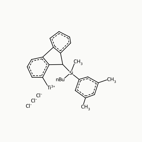 CCCC[Si](C)(c1cc(C)cc(C)c1)C1c2ccccc2-c2ccc[c]([Ti+3])c21.[Cl-].[Cl-].[Cl-]